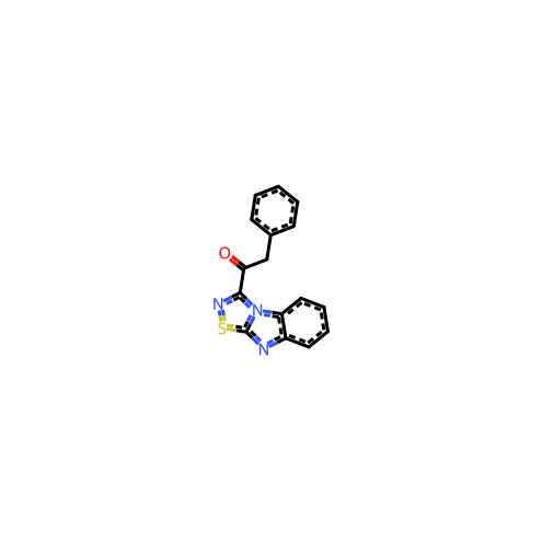 O=C(Cc1ccccc1)c1nsc2nc3ccccc3n12